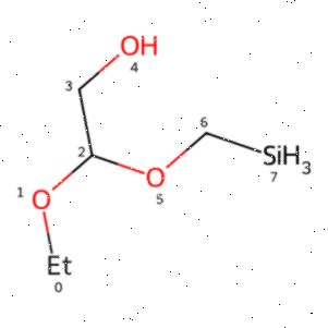 CCOC(CO)OC[SiH3]